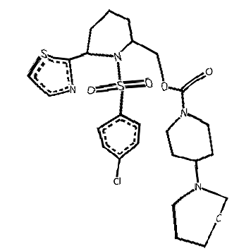 O=C(OCC1CCCC(c2nccs2)N1S(=O)(=O)c1ccc(Cl)cc1)N1CCC(N2CCCCC2)CC1